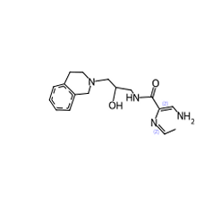 C/C=N\C(=C/N)C(=O)NCC(O)CN1CCc2ccccc2C1